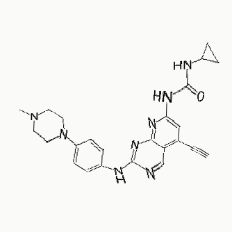 C#Cc1cc(NC(=O)NC2CC2)nc2nc(Nc3ccc(N4CCN(C)CC4)cc3)ncc12